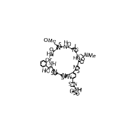 CNC(=O)C[C@@H]1NC(=O)c2csc(n2)C2=CC=C(c3nc(NS(C)(=O)=O)cs3)NC2c2csc(n2)-c2csc(n2)[C@H]([C@@H](O)c2ccccc2)NC(=O)CNC(=O)c2nc(sc2COC)NC(=O)c2nc1sc2C